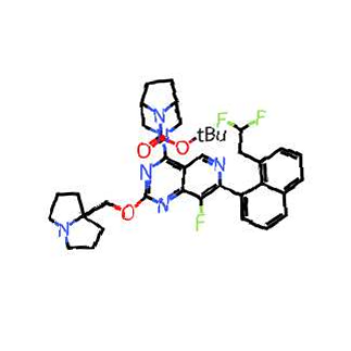 CC(C)(C)OC(=O)N1C2CCC1CN(c1nc(OCC34CCCN3CCC4)nc3c(F)c(-c4cccc5cccc(CC(F)F)c45)ncc13)C2